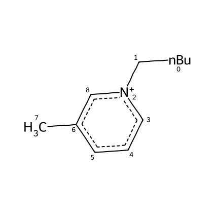 CCCCC[n+]1cccc(C)c1